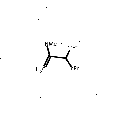 C=C(NC)C(CCC)CCC